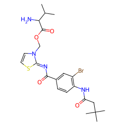 CC(C)C(N)C(=O)OCn1ccs/c1=N\C(=O)c1ccc(NC(=O)CC(C)(C)C)c(Br)c1